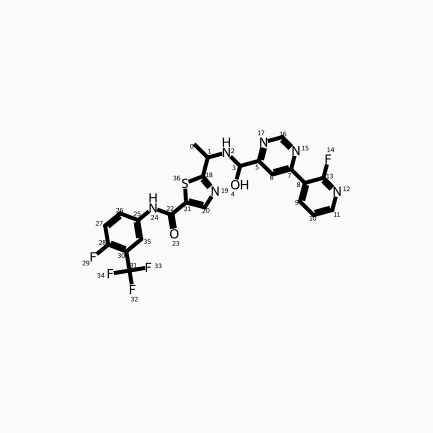 CC(NC(O)c1cc(-c2cccnc2F)ncn1)c1ncc(C(=O)Nc2ccc(F)c(C(F)(F)F)c2)s1